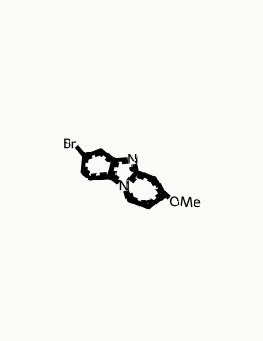 COc1ccn2c(c1)nc1cc(Br)ccc12